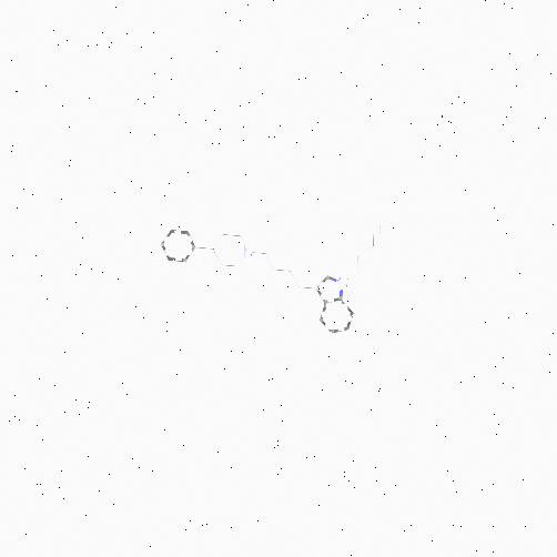 CCCCn1cc(CCCCN2C[CH][C](c3ccccc3)CC2)c2ccccc21